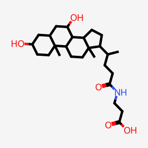 CC(CCC(=O)NCCC(=O)O)C1CCC2C3C(O)CC4CC(O)CCC4(C)C3CCC12C